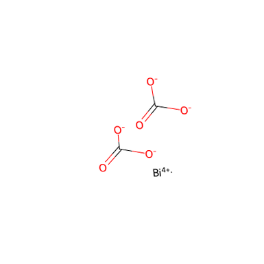 O=C([O-])[O-].O=C([O-])[O-].[Bi+4]